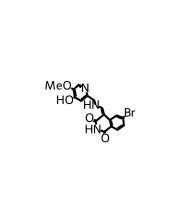 COc1cnc(CNC=C2C(=O)NC(=O)c3ccc(Br)cc32)cc1O